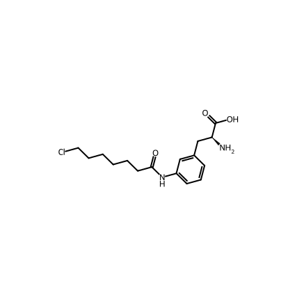 N[C@@H](Cc1cccc(NC(=O)CCCCCCCl)c1)C(=O)O